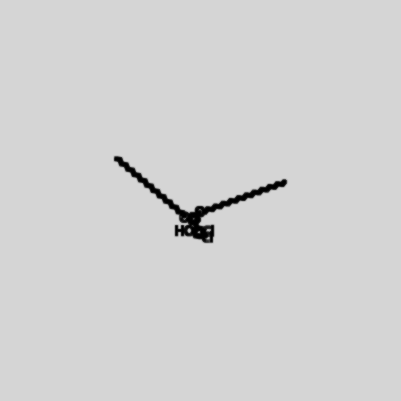 CCCCCCCCCCCCCCCCCCCCCCOc1cc(OCCCCCCCCCCCCCCCCCCCCCC)cc(C2=C(O)C=CC(Cl)(Cl)C2)c1